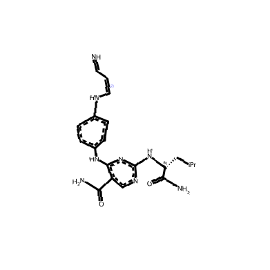 CC(C)C[C@@H](Nc1ncc(C(N)=O)c(Nc2ccc(N/C=C\C=N)cc2)n1)C(N)=O